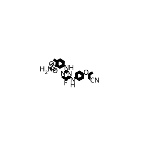 Cc1ccc(Nc2ncc(F)c(Nc3ccc(OC(C)CC#N)cc3)n2)cc1S(N)(=O)=O